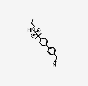 CCCNS(=O)(=O)C(C)(C)C1CC=C(c2ccc(CC#N)cc2)CC1